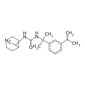 C=C(C)c1cccc(C(C)(C)NC(=O)NC2CN3CCC2CC3)c1